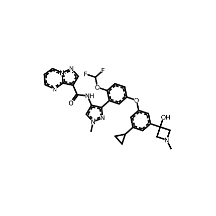 CN1CC(O)(c2cc(Oc3ccc(OC(F)F)c(-c4nn(C)cc4NC(=O)c4cnn5cccnc45)c3)cc(C3CC3)c2)C1